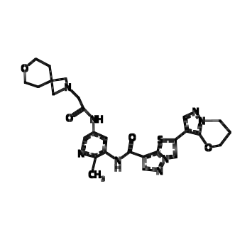 Cc1ncc(NC(=O)CN2CC3(CCOCC3)C2)cc1NC(=O)c1cnn2cc(-c3cnn4c3OCCC4)sc12